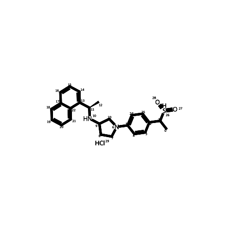 CC(c1ccc(N2CCC(N[C@H](C)c3cccc4ccccc34)C2)cc1)[SH](=O)=O.Cl